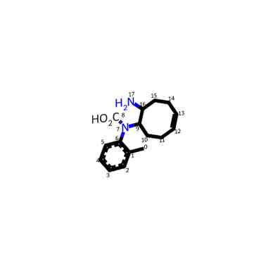 Cc1ccccc1N(C(=O)O)C1CCC=CCCC1N